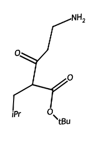 CC(C)CC(C(=O)CCN)C(=O)OC(C)(C)C